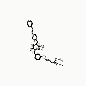 CN(C)CCCOc1cccc(/C=c2\[nH]c(=O)/c(=C/c3ccc(OCc4ccccc4)cn3)[nH]c2=O)c1